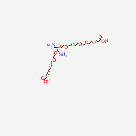 NCC(OCCOCCOCCOCCOCCOCCC(=O)O)C(CN)OCCOCCOCCOCCC(=O)O